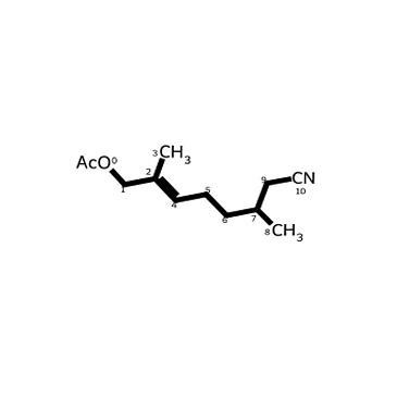 CC(=O)OC/C(C)=C/CCC(C)CC#N